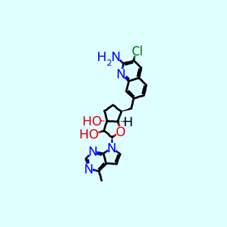 Cc1ncnc2c1ccn2[C@@H]1O[C@@H]2[C@H](Cc3ccc4cc(Cl)c(N)nc4c3)CC[C@]2(O)C1O